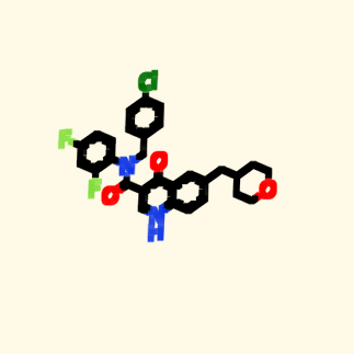 O=C(c1c[nH]c2ccc(CC3CCOCC3)cc2c1=O)N(Cc1ccc(Cl)cc1)c1ccc(F)cc1F